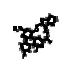 CCn1c(COc2nc(N)nc(-c3ccc(F)cc3)c2-c2cc(C)nc(C(F)F)c2)nc2cccnc21